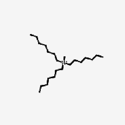 CCCCCCC[N+](C)(CCCCCCC)CCCCCCC